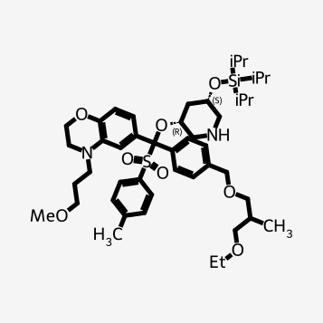 CCOCC(C)COCc1ccc(C(O[C@H]2CNC[C@@H](O[Si](C(C)C)(C(C)C)C(C)C)C2)(c2ccc3c(c2)N(CCCOC)CCO3)S(=O)(=O)c2ccc(C)cc2)cc1